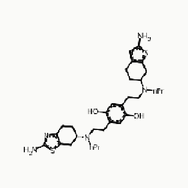 CCCN(CCc1cc(O)c(CCN(CCC)[C@H]2CCc3nc(N)sc3C2)cc1O)C1CCc2cc(N)sc2C1